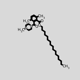 CCCCCCCCCCCCCCCCCOC(=O)C1=C(C(=O)N2CCN(C)CC2)C(C)=C=C=C1C